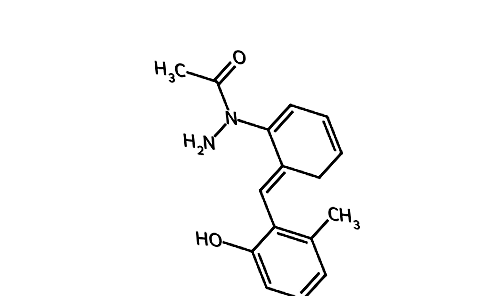 CC(=O)N(N)C1=CC=CCC1=Cc1c(C)cccc1O